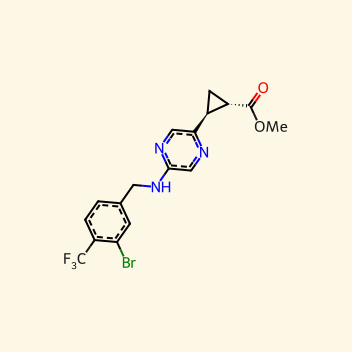 COC(=O)[C@H]1C[C@@H]1c1cnc(NCc2ccc(C(F)(F)F)c(Br)c2)cn1